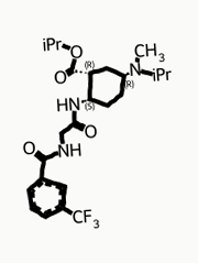 CC(C)OC(=O)[C@@H]1C[C@H](N(C)C(C)C)CC[C@@H]1NC(=O)CNC(=O)c1cccc(C(F)(F)F)c1